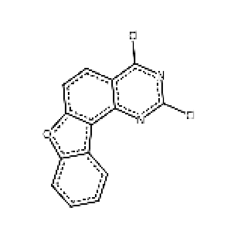 Clc1nc(Cl)c2ccc3oc4ccccc4c3c2n1